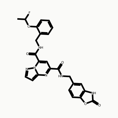 CC(F)Oc1ccccc1CNC(=O)c1cc(C(=O)NCc2ccc3oc(=O)[nH]c3c2)nc2ccnn12